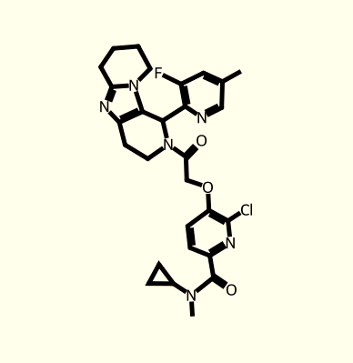 Cc1cnc(C2c3c(nc4n3CCCC4)CCN2C(=O)COc2ccc(C(=O)N(C)C3CC3)nc2Cl)c(F)c1